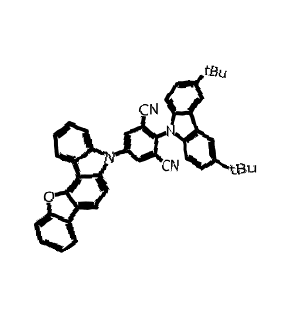 CC(C)(C)c1ccc2c(c1)c1cc(C(C)(C)C)ccc1n2-c1c(C#N)cc(-n2c3ccccc3c3c4oc5ccccc5c4ccc32)cc1C#N